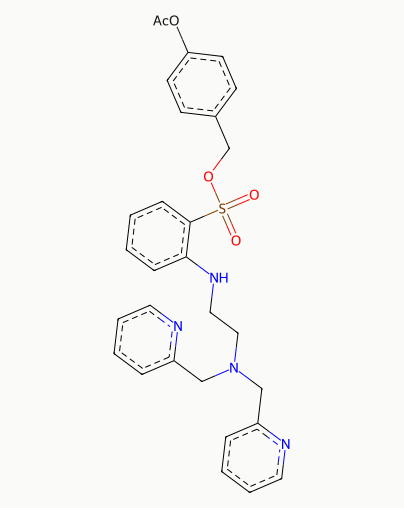 CC(=O)Oc1ccc(COS(=O)(=O)c2ccccc2NCCN(Cc2ccccn2)Cc2ccccn2)cc1